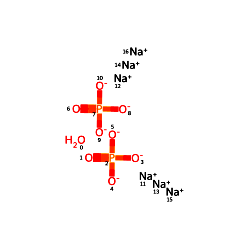 O.O=P([O-])([O-])[O-].O=P([O-])([O-])[O-].[Na+].[Na+].[Na+].[Na+].[Na+].[Na+]